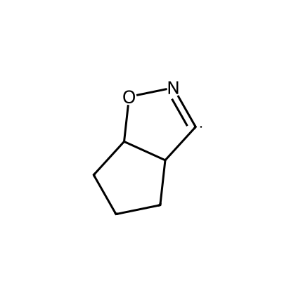 [C]1=NOC2CCCC12